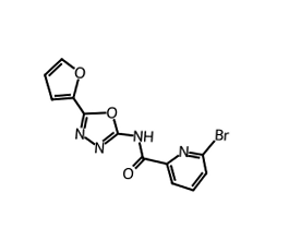 O=C(Nc1nnc(-c2ccco2)o1)c1cccc(Br)n1